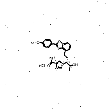 COc1ccc(-c2nc3c(CC[C@H]([C@H](C)O)n4cnc(C(N)=O)c4)cccc3o2)cc1.Cl